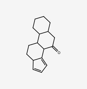 O=C1CC2CCCCC2C2CCC3C=CC=C3C12